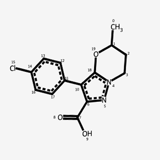 CC1CCn2nc(C(=O)O)c(-c3ccc(Cl)cc3)c2O1